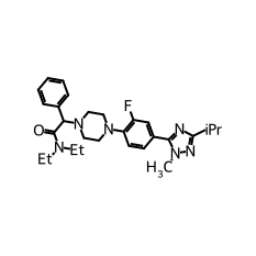 CCN(CC)C(=O)C(c1ccccc1)N1CCN(c2ccc(-c3nc(C(C)C)nn3C)cc2F)CC1